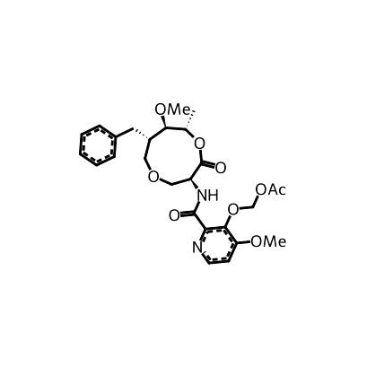 COc1ccnc(C(=O)N[C@H]2COC[C@H](Cc3ccccc3)[C@@H](OC)[C@H](C)OC2=O)c1OCOC(C)=O